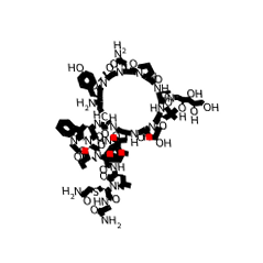 CCCC[C@@H](C(=O)N(C)[C@@H](CCCC)C(=O)N[C@@H](CC(C)C)C(=O)N[C@@H](CSCC(N)=O)C(=O)NCC(N)=O)N(C)C(=O)[C@H](Cc1cn(CC(=O)O)c2ccccc12)NC(=O)[C@@H]1CCC(N)[C@@H](Cc2ccc(O)cc2)C(=O)N(C)[C@@H](C)C(=O)N[C@@H](CC(N)=O)C(=O)N2CCC[C@H]2C(=O)N[C@@H](CNC[C@H](O)[C@@H](O)[C@@H](O)CO)C(=O)N[C@@H](CC(C)(C)C)C(=O)N2C[C@H](O)C[C@H]2C(=O)N[C@@H](Cc2c[nH]c3ccccc23)C(=O)N1